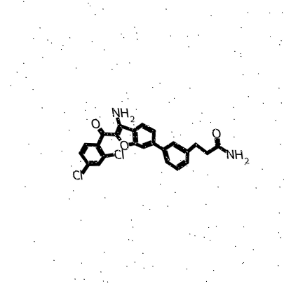 NC(=O)CCc1cccc(-c2ccc3c(N)c(C(=O)c4ccc(Cl)cc4Cl)oc3c2)c1